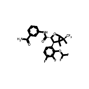 CC12C(O[C@@H](C(=O)Nc3cccc(C(N)=O)c3)[C@@H]1c1ccc(F)c(F)c1OC(F)F)[C@@]2(C)C(F)(F)F